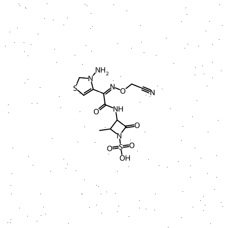 CC1C(NC(=O)/C(=N\OCC#N)C2=CSCN2N)C(=O)N1S(=O)(=O)O